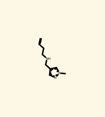 C=CCCNCc1cnn(C)c1